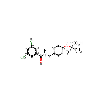 CC(C)(Oc1ccc(C[AsH]C(=O)c2cc(Cl)cc(Cl)c2)cc1)C(=O)O